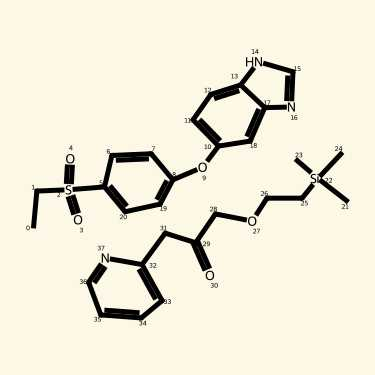 CCS(=O)(=O)c1ccc(Oc2ccc3[nH]cnc3c2)cc1.C[Si](C)(C)CCOCC(=O)Cc1ccccn1